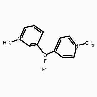 C[n+]1ccc(Oc2ccc[n+](C)c2)cc1.[F-].[F-]